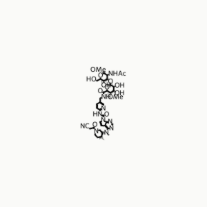 CO[C@@H]1OC(CO)[C@@H](O)[C@H](O[C@@H]2OC(C(=O)NCc3ccc(NC(=O)n4ccc5c(N(C)[C@H]6CN(C(=O)CC#N)CC[C@H]6C)ncnc54)nc3)[C@@H](OC)[C@H](O)C2O)C1NC(C)=O